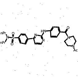 CCCN(CCC)S(=O)(=O)c1ccc(-c2ccnc(Nc3ccc(C(=O)N4CCN(C(C)=O)CC4)cc3)n2)cc1